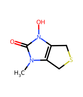 Cn1c2c(n(O)c1=O)CSC2